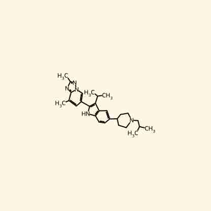 Cc1nc2c(C)cc(-c3[nH]c4ccc(C5CCN(CC(C)C)CC5)cc4c3C(C)C)cn2n1